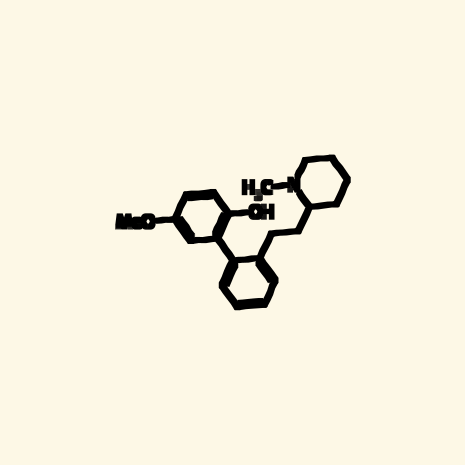 COc1ccc(O)c(-c2ccccc2CCC2CCCCN2C)c1